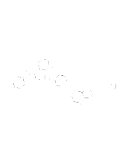 O=C(Nc1ccc(F)cc1)c1cccnc1Nc1ccc(Oc2ccnc3cc(C4CCNCC4)sc23)c(F)c1